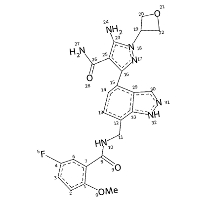 COc1ccc(F)cc1C(=O)NCc1ccc(-c2nn(C3COC3)c(N)c2C(N)=O)c2cn[nH]c12